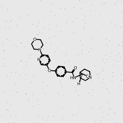 O=C(N[C@H]1CN2CCC1CC2)c1ccc(Oc2ccc(N3CCOCC3)nc2)cc1